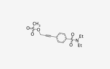 CCN(CC)S(=O)(=O)c1ccc(C#CCOS(C)(=O)=O)cc1